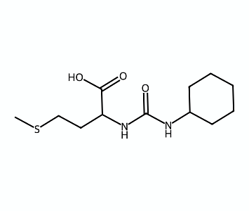 CSCCC(NC(=O)NC1CCCCC1)C(=O)O